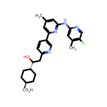 Cc1cc(Nc2cc(C)c(F)cn2)nc(-c2ccc(CC(O)[C@H]3CC[C@H](C(=O)O)CC3)nc2)c1